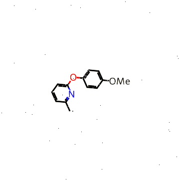 [CH2]c1cccc(Oc2ccc(OC)cc2)n1